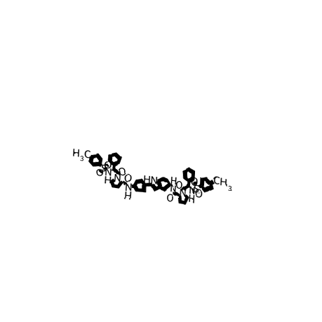 Cc1ccc(S(=O)(=O)N[C@H](C(=O)N2CCCC2C(=O)Nc2ccc3[nH]c(-c4ccc(NC(=O)[C@@H]5CCCN5C(=O)[C@H](NS(=O)(=O)c5ccc(C)cc5)c5ccccc5)cc4)cc3c2)c2ccccc2)cc1